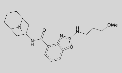 COCCCNc1nc2c(C(=O)NC3CC4CCCC(C3)N4C)cccc2o1